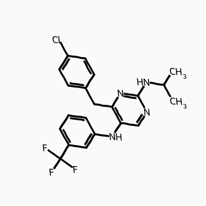 CC(C)Nc1ncc(Nc2cccc(C(F)(F)F)c2)c(Cc2ccc(Cl)cc2)n1